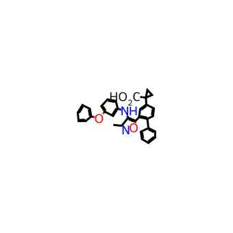 Cc1noc(-c2cc(C3(C(=O)O)CC3)ccc2-c2ccccc2)c1Nc1cccc(Oc2ccccc2)c1